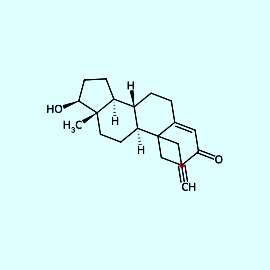 C#CCC12CCC(=O)C=C1CC[C@@H]1[C@@H]2CC[C@]2(C)[C@@H](O)CC[C@@H]12